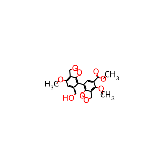 COC(=O)c1cc(-c2c(CO)cc(OC)c3c2OOC3)c2c(c1OC)COO2